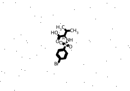 CC(C)[C@@H](NS(=O)(=O)c1ccc(Br)cc1)C(=O)O